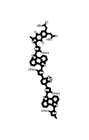 CCCCCCc1cc(C)sc1-c1sc2cccc3c4c(-c5sc(-c6ccc(-c7cc(CCCCCC)c(-c8sc9cccc%10c%11c(-c%12sc(-c%13sc(C)c%14c%13C(=O)c%13cc(CC(CC)CCCC)c(CC(CC)CCCC)cc%13C%14=O)cc%12CCCCCC)sc%12cccc(c8c9%10)c%12%11)s7)c7nsnc67)cc5CCCCCC)sc5cccc(c1c23)c54